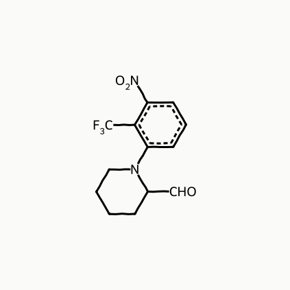 O=CC1CCCCN1c1cccc([N+](=O)[O-])c1C(F)(F)F